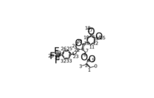 C/C=C(/C)C(=O)OC[C@@H]1C(c2ccc(OC)c(OC)c2)OC[C@@H]1Cc1ccc(C(F)(F)F)cc1